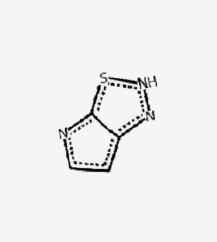 c1cc2n[nH]sc-2n1